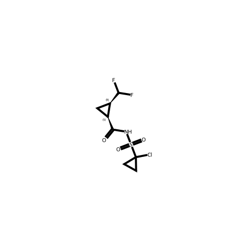 O=C(NS(=O)(=O)C1(Cl)CC1)[C@H]1C[C@H]1C(F)F